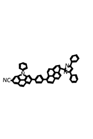 N#Cc1cc2ccc3cc(-c4ccc(-c5ccc6ccc7c(-c8nc(-c9ccccc9)cc(-c9ccccc9)n8)ccc8ccc5c6c87)cc4)cc4c3c2c(c1)n4-c1ccccc1